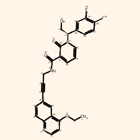 CCOc1ccnc2ccc(C#CCNC(=O)c3cccn([C@@H](CO)c4ccc(F)c(F)c4)c3=O)cc12